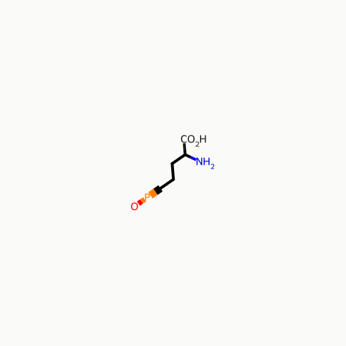 NC(CCC#P=O)C(=O)O